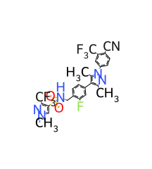 Cc1nn(-c2ccc(C#N)c(C(F)(F)F)c2)c(C)c1-c1ccc(CNS(=O)(=O)c2cn(C)nc2C(F)(F)F)c(F)c1